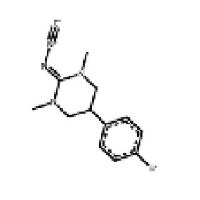 [C-]#[N+]N=C1N(C)CC(c2ccc(Br)cc2)CN1C